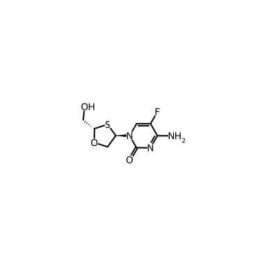 Nc1nc(=O)n([C@H]2CO[C@H](CO)S2)cc1F